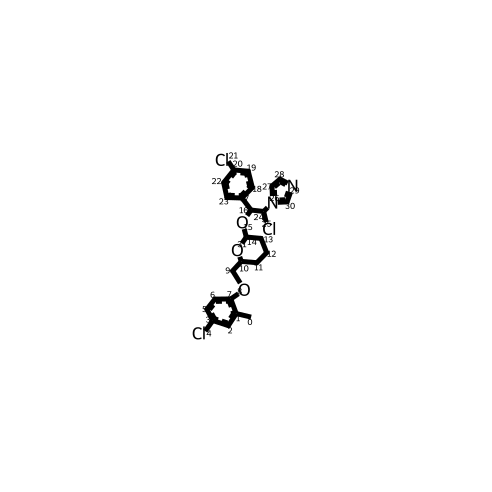 Cc1cc(Cl)ccc1OCC1CCCC(OC(c2ccc(Cl)cc2)C(Cl)n2ccnc2)O1